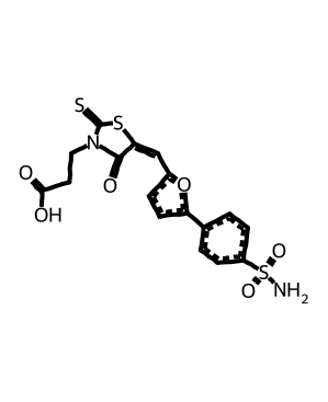 NS(=O)(=O)c1ccc(-c2ccc(/C=C3/SC(=S)N(CCC(=O)O)C3=O)o2)cc1